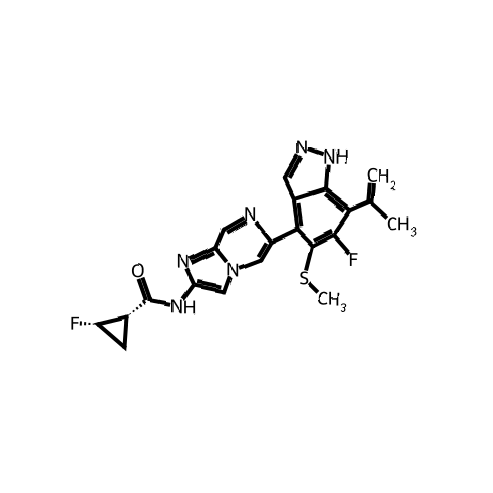 C=C(C)c1c(F)c(SC)c(-c2cn3cc(NC(=O)[C@@H]4C[C@@H]4F)nc3cn2)c2cn[nH]c12